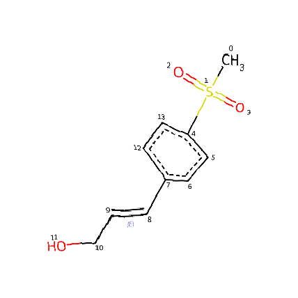 CS(=O)(=O)c1ccc(/C=C/CO)cc1